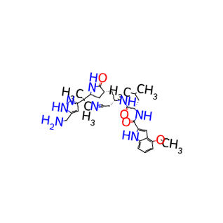 COc1cccc2[nH]c(C(=O)N[C@@H](CC(C)C)C(=O)N[C@H](CC#N)C[C@@H]3CC(C(C)(C)c4cc(CN)[nH]n4)NC3=O)cc12